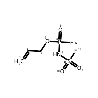 C=CCOP(=O)(F)NS(=O)(=O)F